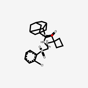 CC(C)NC(=O)C12CC3CC(C1)C(NC(=O)C1(NCS(=O)(=O)c4ccccc4Cl)CCC1)C(C3)C2